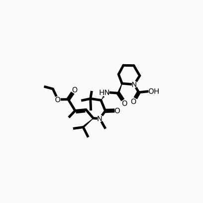 CCOC(=O)/C(C)=C/[C@H](C(C)C)N(C)C(=O)[C@@H](NC(=O)[C@H]1CCCCN1C(=O)O)C(C)(C)C